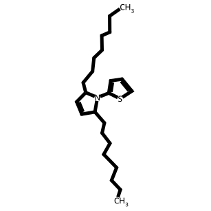 CCCCCCCCC1C=CC(CCCCCCCC)N1c1cccs1